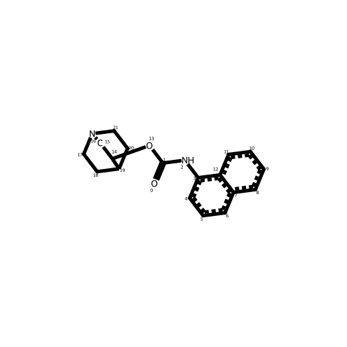 O=C(Nc1cccc2ccccc12)OC1CN2CCC1CC2